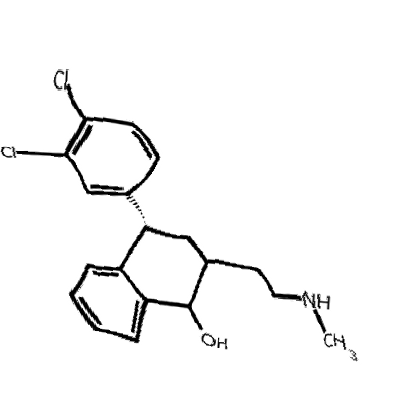 CNCCC1C[C@@H](c2ccc(Cl)c(Cl)c2)c2ccccc2C1O